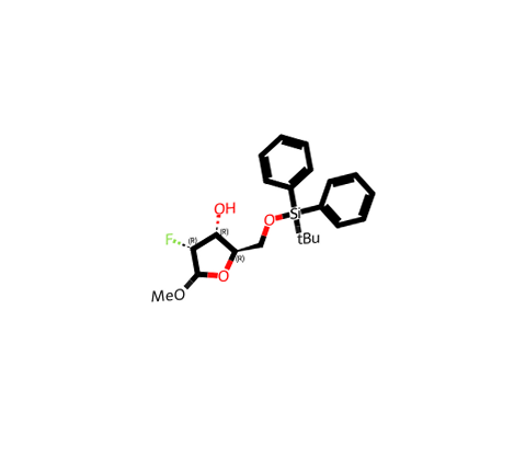 COC1O[C@H](CO[Si](c2ccccc2)(c2ccccc2)C(C)(C)C)[C@@H](O)[C@H]1F